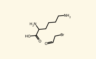 NCCCCC(N)C(=O)O.O=CCBr